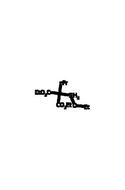 CCCC([SiH2]OCC)(C(=O)OCC)C(=O)OCC